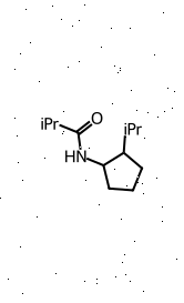 CC(C)C(=O)NC1CCCC1C(C)C